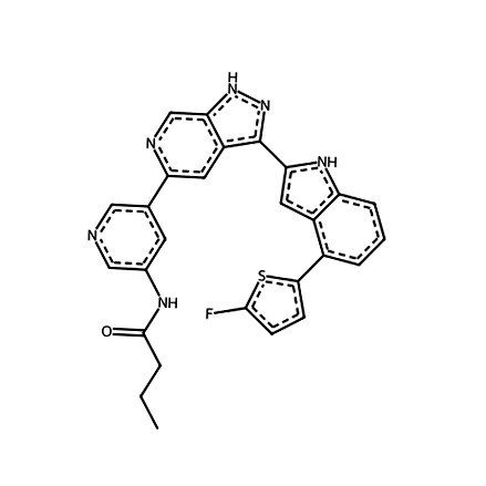 CCCC(=O)Nc1cncc(-c2cc3c(-c4cc5c(-c6ccc(F)s6)cccc5[nH]4)n[nH]c3cn2)c1